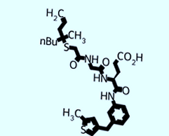 C=CCC(C)(CCCC)SCC(=O)NCC(=O)N[C@@H](CCC(=O)O)C(=O)Nc1cccc(Cc2csc(C)c2)c1